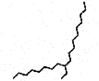 CCCCCCCCC[CH]C(CC)CCCCCCCC